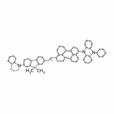 CC1(C)c2cc(/C=C/c3ccc4c5cccc6c(N7c8ccccc8N(c8ccccc8)c8ccccc87)ccc(c7cccc3c47)c65)ccc2-c2ccc(N3CCCc4ccccc43)cc21